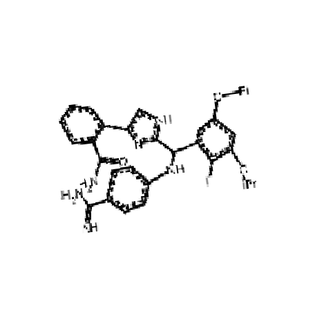 CCOc1cc(OC(C)C)c(F)c(C(Nc2ccc(C(=N)N)cc2)c2nc(-c3ccccc3C(N)=O)c[nH]2)c1